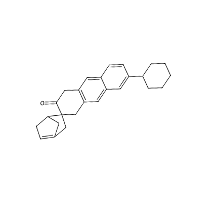 O=C1Cc2cc3ccc(C4CCCCC4)cc3cc2CC12CC1=CCC2C1